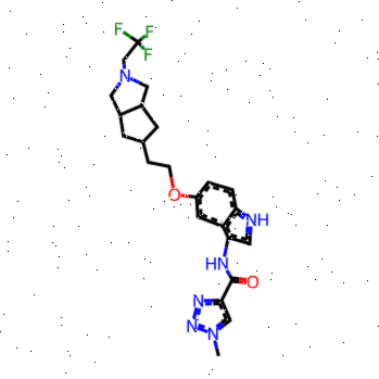 Cn1cc(C(=O)Nc2c[nH]c3ccc(OCCC4CC5CN(CC(F)(F)F)CC5C4)cc23)nn1